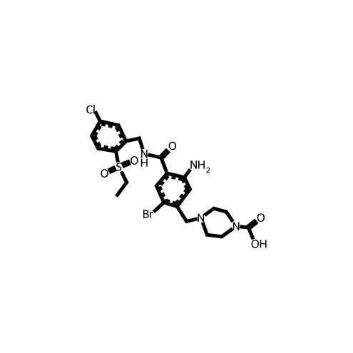 CCS(=O)(=O)c1ccc(Cl)cc1CNC(=O)c1cc(Br)c(CN2CCN(C(=O)O)CC2)cc1N